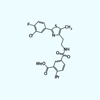 COC(=O)c1cc(S(=O)(=O)NCCc2nc(-c3ccc(F)c(Cl)c3)sc2C)ccc1C(C)C